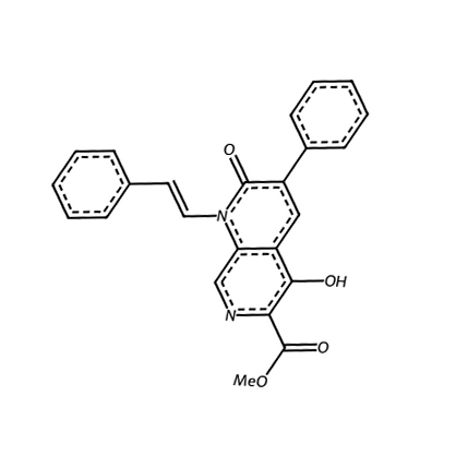 COC(=O)c1ncc2c(cc(-c3ccccc3)c(=O)n2C=Cc2ccccc2)c1O